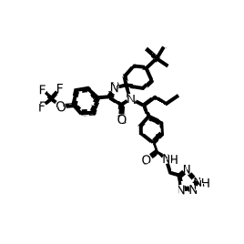 CCCC(C1=CC=C(C(=O)NCc2nn[nH]n2)CC1)N1C(=O)C(c2ccc(OC(F)(F)F)cc2)=NC12CCC(C(C)(C)C)CC2